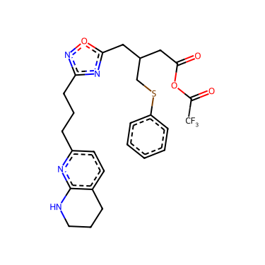 O=C(CC(CSc1ccccc1)Cc1nc(CCCc2ccc3c(n2)NCCC3)no1)OC(=O)C(F)(F)F